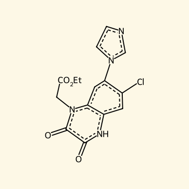 CCOC(=O)Cn1c(=O)c(=O)[nH]c2cc(Cl)c(-n3ccnc3)cc21